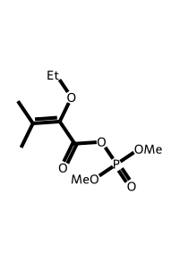 CCOC(C(=O)OP(=O)(OC)OC)=C(C)C